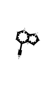 N#Cc1ccnc2sccc12